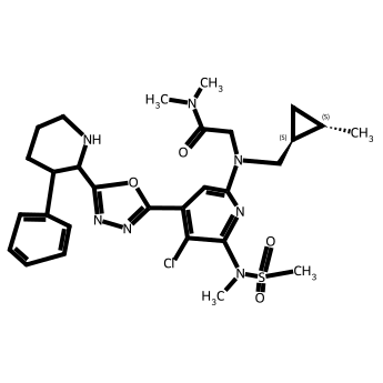 C[C@H]1C[C@@H]1CN(CC(=O)N(C)C)c1cc(-c2nnc(C3NCCCC3c3ccccc3)o2)c(Cl)c(N(C)S(C)(=O)=O)n1